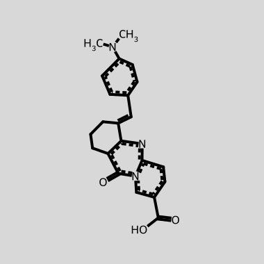 CN(C)c1ccc(C=C2CCCc3c2nc2ccc(C(=O)O)cn2c3=O)cc1